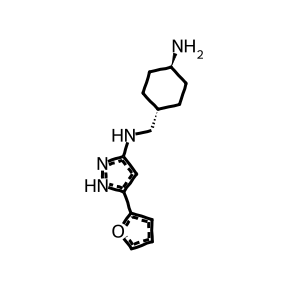 N[C@H]1CC[C@H](CNc2cc(-c3ccco3)[nH]n2)CC1